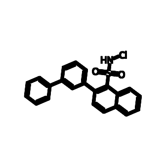 O=S(=O)(NCl)c1c(-c2cccc(-c3ccccc3)c2)ccc2ccccc12